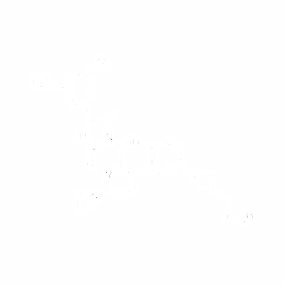 C[C@H]1[C@@H](c2cc(C(F)(F)F)cc(C(F)(F)F)c2)OC(=O)N1Cc1nc(N2CCC2)ccc1-c1cc([C@H]2C[C@@H](CC(=O)O)C2)ccc1O